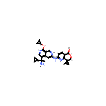 CC(N)(c1cnc(OC2CC2)c2cnc(Nc3ccc4c(n3)C3(CC3)COC4=O)cc12)C1CC1